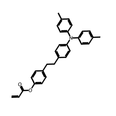 C=CC(=O)Oc1ccc(CCc2ccc(N(c3ccc(C)cc3)c3ccc(C)cc3)cc2)cc1